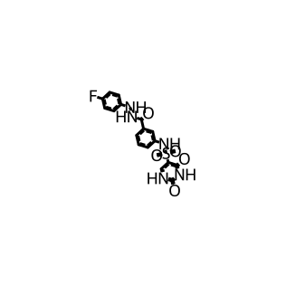 O=C(NNc1ccc(F)cc1)c1cccc(NS(=O)(=O)c2c[nH]c(=O)[nH]c2=O)c1